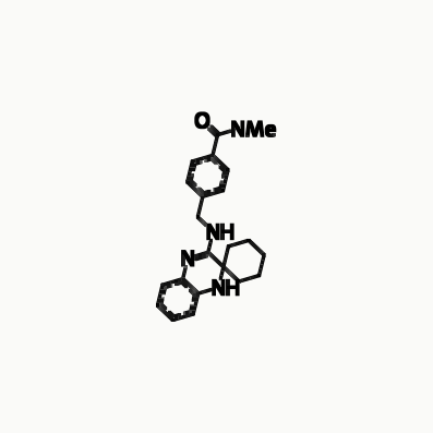 CNC(=O)c1ccc(CNC2=Nc3ccccc3NC23CCCCC3)cc1